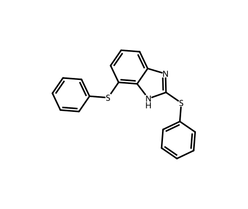 c1ccc(Sc2nc3cccc(Sc4ccccc4)c3[nH]2)cc1